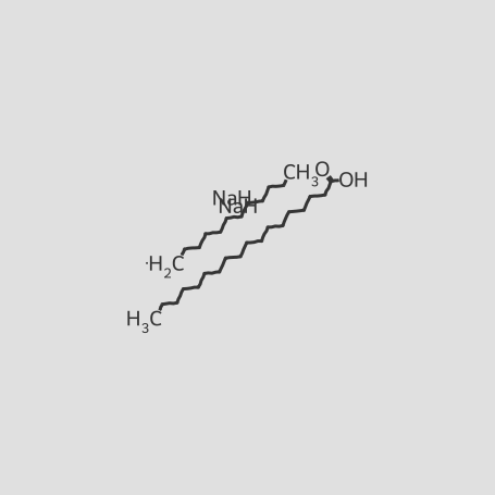 CCCCCCCCCCCCCCCCCC(=O)O.[CH2]CCCCCCCCCCC.[NaH].[NaH]